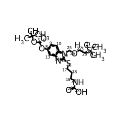 CC(C)(C)OC(=O)Oc1ccc2c(c1)nc(SCCCNC(=O)O)n2COCC[Si](C)(C)C